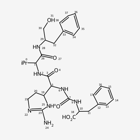 CC(C)C(NC(=O)C(NC(=O)NC(Cc1ccccc1)C(=O)O)C1CCN=C(N)N1)C(=O)NC(CO)Cc1ccccc1